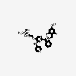 CCOc1cc(F)c(Cn2nc(-c3ncc(OCCO[Si](C)(C)C(C)(C)C)c(Nc4ccncc4)n3)c3ccccc32)c(F)c1